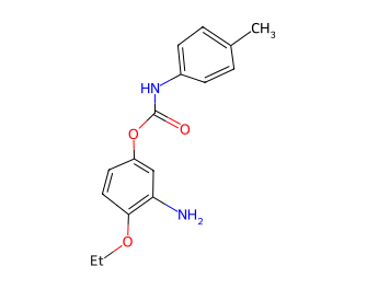 CCOc1ccc(OC(=O)Nc2ccc(C)cc2)cc1N